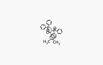 Cc1ccc(C(=O)C(CP(=O)(c2ccccc2)c2ccccc2)P(=O)(c2ccccc2)c2ccccc2)cc1C